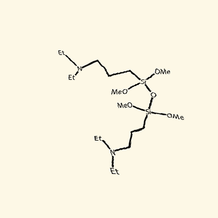 CCN(CC)CCC[Si](OC)(OC)O[Si](CCCN(CC)CC)(OC)OC